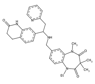 CCN1C(=O)C(C)(C)C(=O)N(C)c2cc(CNC(Cc3ccccn3)c3ccc4c(c3)NC(=O)CC4)ccc21